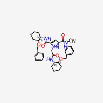 N#CNC(=O)c1cc(C(=O)N[C@H]2CCCC[C@@H]2OCc2ccccc2)n(CC(=O)N[C@H]2CCCC[C@@H]2OCc2ccccc2)n1